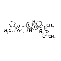 CC(=O)OC[C@@H](C)C1=CC[C@H]2[C@@H]3CC=C4CC(OS(=O)(=O)c5ccccc5C)CC[C@]4(C)[C@H]3CC[C@]12C